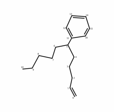 C=CCCCC(CCCCC)c1ccccc1